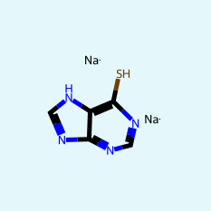 Sc1ncnc2nc[nH]c12.[Na].[Na]